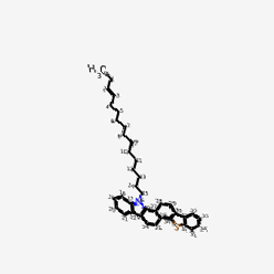 CCCCCCCCCCCCCCCCn1c2ccccc2c2ccc3c(ccc4c5ccccc5sc43)c21